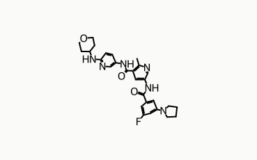 Cc1ncc(NC(=O)c2cc(F)cc(N3CCCC3)c2)cc1C(=O)Nc1ccc(NC2CCOCC2)nc1